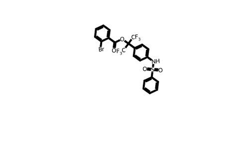 O=C(OC(c1ccc(NS(=O)(=O)c2ccccc2)cc1)(C(F)(F)F)C(F)(F)F)c1ccccc1Br